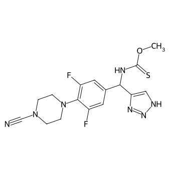 COC(=S)NC(c1cc(F)c(N2CCN(C#N)CC2)c(F)c1)c1c[nH]nn1